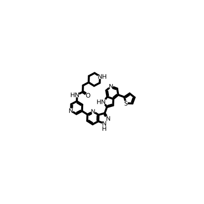 O=C(CC1CCNCC1)Nc1cncc(-c2ccc3[nH]nc(-c4cc5c(-c6cccs6)cncc5[nH]4)c3n2)c1